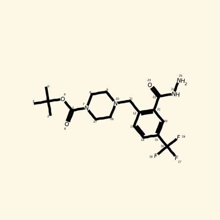 CC(C)(C)OC(=O)N1CCN(Cc2ccc(C(F)(F)F)cc2C(=O)NN)CC1